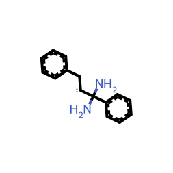 NC(N)([C]Cc1ccccc1)c1ccccc1